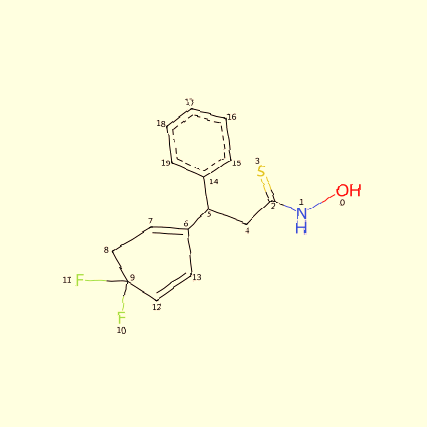 ONC(=S)CC(C1=CCC(F)(F)C=C1)c1ccccc1